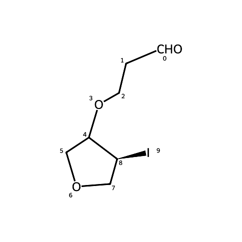 O=CCCOC1COC[C@@H]1I